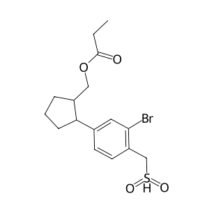 CCC(=O)OCC1CCCC1c1ccc(C[SH](=O)=O)c(Br)c1